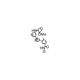 CO[C@H]1COC[C@@H]1Nc1cncc(-n2cc(-c3cc(C(=O)NC4CC4)ccc3C)cn2)c1